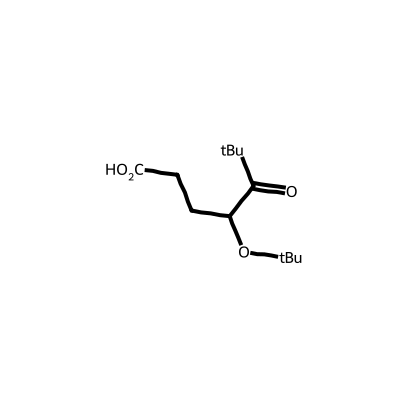 CC(C)(C)OC(CCC(=O)O)C(=O)C(C)(C)C